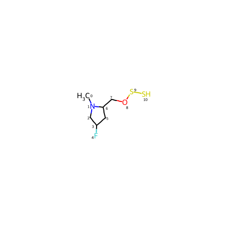 CN1CC(F)CC1COSS